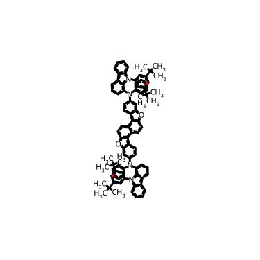 CC(C)(C)c1cc(-n2c3ccccc3c3cccc(N(c4ccccc4)c4ccc5c(c4)oc4ccc6c(ccc7oc8cc(N(c9ccccc9)c9cccc%10c%11ccccc%11n(-c%11cc(C(C)(C)C)cc(C(C)(C)C)c%11)c9%10)ccc8c76)c45)c32)cc(C(C)(C)C)c1